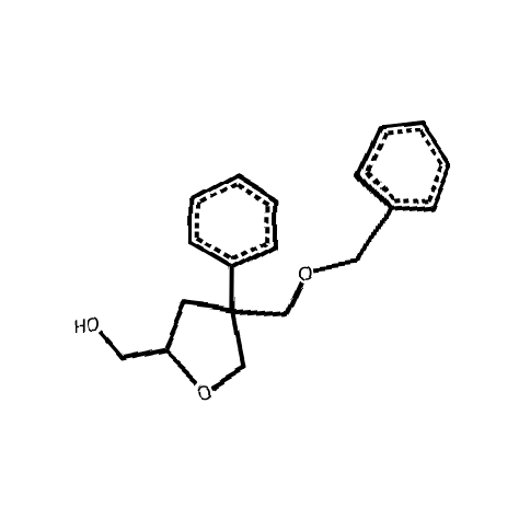 OCC1CC(COCc2ccccc2)(c2ccccc2)CO1